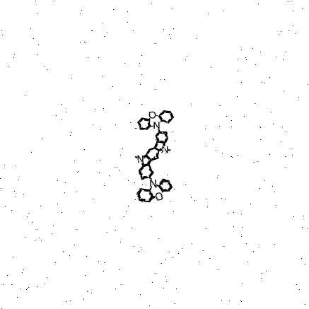 Cn1c2ccc(N3c4ccccc4Oc4ccccc43)cc2c2cc3c(cc21)c1cc(N2c4ccccc4Oc4ccccc42)ccc1n3C